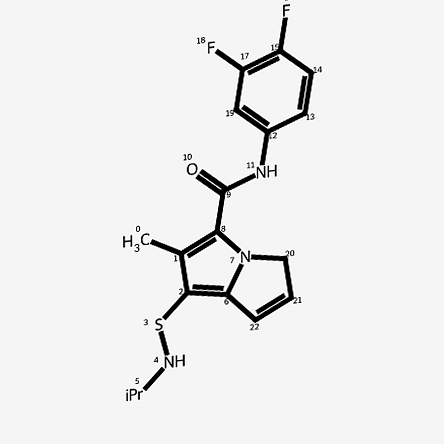 Cc1c(SNC(C)C)c2n(c1C(=O)Nc1ccc(F)c(F)c1)CC=C2